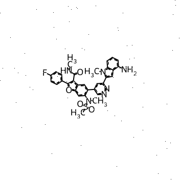 CNC(=O)c1c(-c2ccc(F)cc2)oc2cc(N(C)S(C)(=O)=O)c(-c3cnnc(-c4cc5c(N)cccc5n4C)c3)cc12